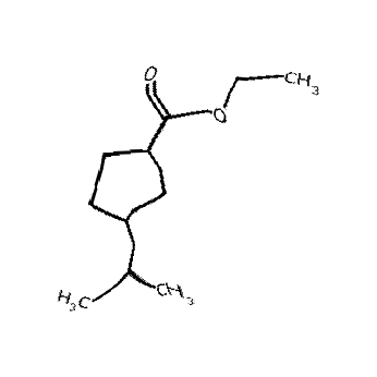 CCOC(=O)C1CCC(C(C)C)C1